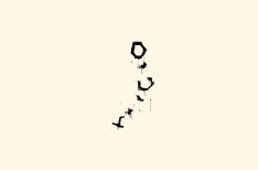 C[C@@H]1Cc2nc(NC(=O)NCC(C)(C)O)sc2[C@H](C)N1c1nc2cc(F)c(F)cc2o1